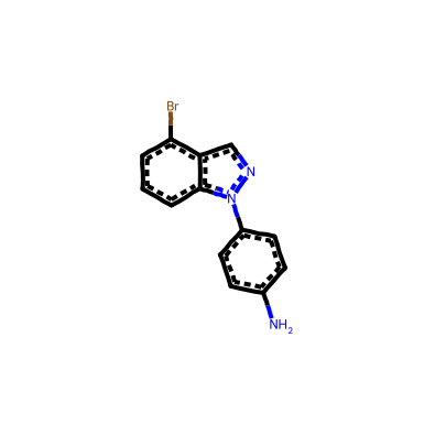 Nc1ccc(-n2ncc3c(Br)cccc32)cc1